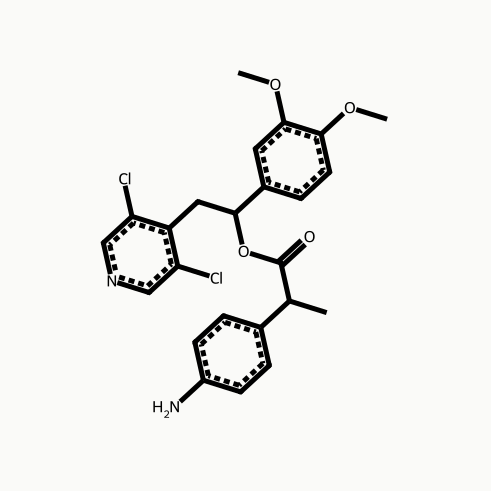 COc1ccc(C(Cc2c(Cl)cncc2Cl)OC(=O)C(C)c2ccc(N)cc2)cc1OC